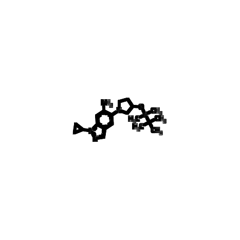 CC(C)(C)[Si](C)(C)OC1CCN(c2cc3cnn(C4CC4)c3cc2N)C1